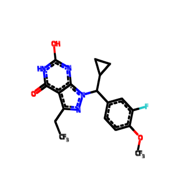 O=c1[nH]c(O)nc2c1c(CC(F)(F)F)nn2C(c1ccc(OC(F)(F)F)c(F)c1)C1CC1